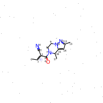 C/C=C(\C#N)C(=O)N1CCn2nc(C)cc2C1C